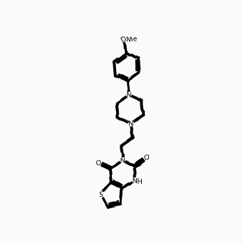 COc1ccc(N2CCN(CCn3c(=O)[nH]c4ccsc4c3=O)CC2)cc1